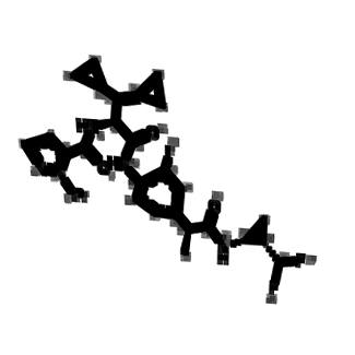 CC(C)n1nccc1C(=O)N[C@H](C(=O)Nc1ccc([C@H](C)C(=O)N[C@@H]2C[C@@H]2C(F)F)cc1F)C(=C1CC1)C1CC1